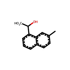 Cc1ccc2cccc(C(O)C(=O)O)c2c1